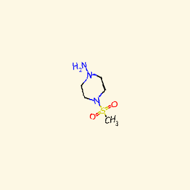 CS(=O)(=O)N1CCN(N)CC1